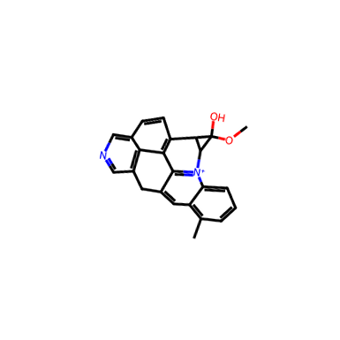 COC1(O)C2c3ccc4cncc5c4c3-c3c(cc4c(C)cccc4[n+]3C21)C5